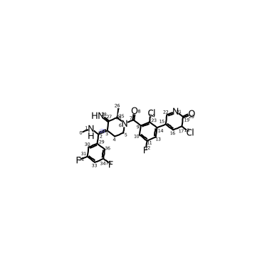 CN/C(=C1/CCN(C(=O)c2cc(F)cc(C3=CC(Cl)C(=O)N=C3)c2Cl)[C@H](C)C1=N)c1cc(F)cc(F)c1